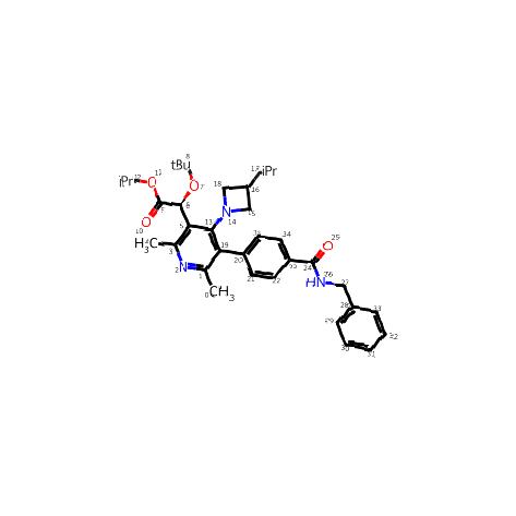 Cc1nc(C)c([C@H](OC(C)(C)C)C(=O)OC(C)C)c(N2CC(C(C)C)C2)c1-c1ccc(C(=O)NCc2ccccc2)cc1